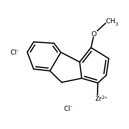 COc1cc[c]([Zr+2])c2c1-c1ccccc1C2.[Cl-].[Cl-]